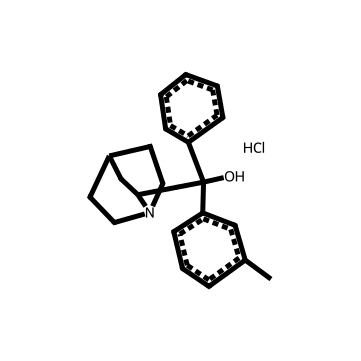 Cc1cccc(C(O)(c2ccccc2)C2CC3CCN2CC3)c1.Cl